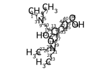 CCCCN(CCCC)CCCc1cc2c(c(CCCN(CCCC)CCCC)c1C(=O)O)Cc1cc(C(=O)O)ccc1-2